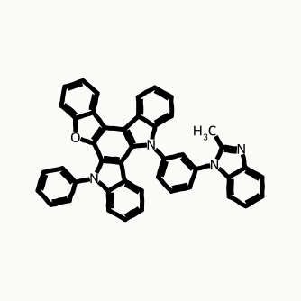 Cc1nc2ccccc2n1-c1cccc(-n2c3ccccc3c3c4c5ccccc5oc4c4c(c5ccccc5n4-c4ccccc4)c32)c1